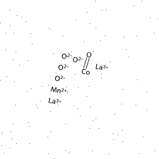 [La+3].[La+3].[Mn+2].[O-2].[O-2].[O-2].[O-2].[O]=[Co]